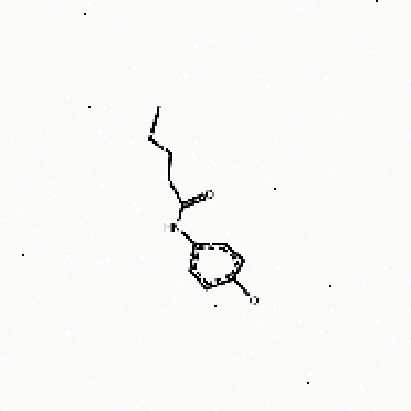 CCCCC(=O)Nc1ccc([O])cc1